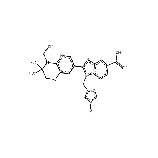 C=C(O)c1ccc2c(c1)nc(-c1cnc3c(c1)OCC(C)(C)N3CC)n2Cc1ccn(C)n1